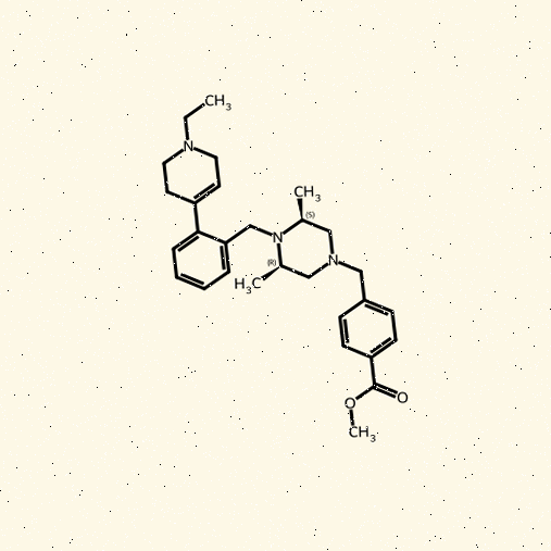 CCN1CC=C(c2ccccc2CN2[C@H](C)CN(Cc3ccc(C(=O)OC)cc3)C[C@@H]2C)CC1